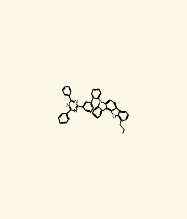 CCCc1cccc2c1oc1c2ccc2c1c1ccccc1n2-c1ccccc1-c1cccc(-c2nc(-c3ccccc3)nc(-c3ccccc3)n2)c1